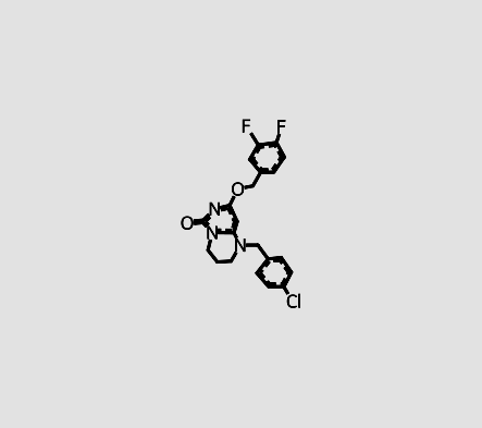 O=c1nc(OCc2ccc(F)c(F)c2)cc2n1CCCN2Cc1ccc(Cl)cc1